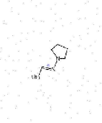 CC(C)(C)/C=N/N1CCCC1